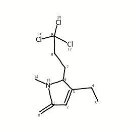 C=C1C=C(CC)C(CCC(Cl)(Cl)Cl)N1C